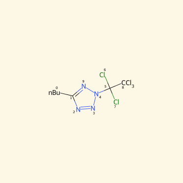 CCCCc1nnn(C(Cl)(Cl)C(Cl)(Cl)Cl)n1